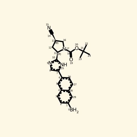 Bc1ccc2cc(-c3cnc([C@H]4C[C@@H](C#N)CN4C(=O)OC(C)(C)C)[nH]3)ccc2c1